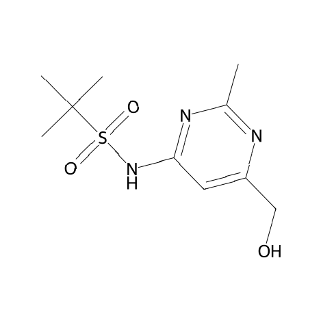 Cc1nc(CO)cc(NS(=O)(=O)C(C)(C)C)n1